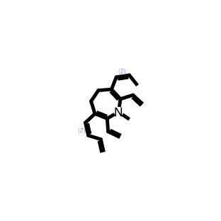 C=C/C=C\C1=C(C=C)N(C)C(C=C)=C(/C=C\C)CC1